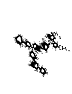 Cc1ccc2c(c1)c1cc(C)ccc1n2-c1ccc(-c2ccc(N(c3ccc(C4=CCCC=C4)cc3)c3ccc(-c4cccc(-c5ccccc5)c4)cc3)cc2)cc1